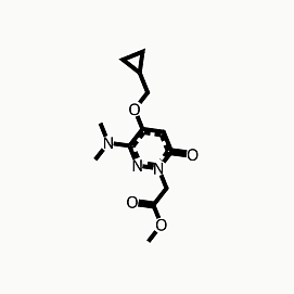 COC(=O)Cn1nc(N(C)C)c(OCC2CC2)cc1=O